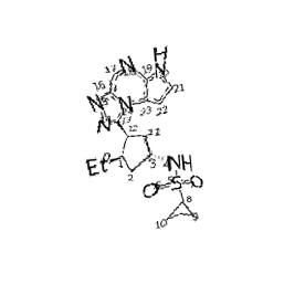 CC[C@@H]1C[C@@H](NS(=O)(=O)C2CC2)C[C@@H]1c1nnc2cnc3[nH]ccc3n12